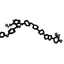 Nc1ncnc2c1c(-c1ccc(Oc3ccccc3)cc1)nn2C1CCN(CC2CCN(C3CCN(c4ccc5c(c4)CN(C4CCC(=O)NC4=O)C5)CC3)CC2)CC1